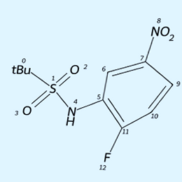 CC(C)(C)S(=O)(=O)Nc1cc([N+](=O)[O-])ccc1F